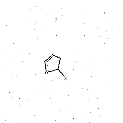 [S]C1CC=CO1